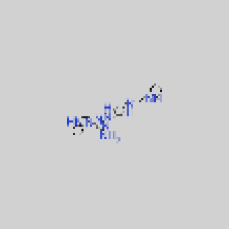 Nc1cc(N2CCNC3(CCCCC3)C2)nc(NC[C@H]2CC[C@H](CNCCCNC3CCCCC3)CC2)n1